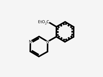 CCOC(=O)c1ccccc1N1C=NC=CC1